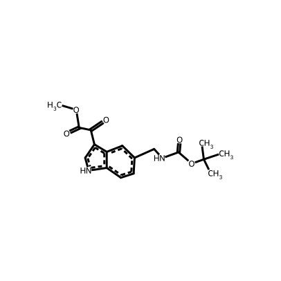 COC(=O)C(=O)c1c[nH]c2ccc(CNC(=O)OC(C)(C)C)cc12